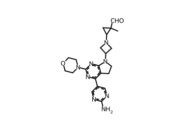 CC1(C=O)CC1N1CC(N2CCc3c(-c4cnc(N)nc4)nc(N4CCOCC4)nc32)C1